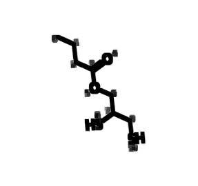 CCCC(=O)OCC(S)CS